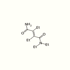 CC/C(C(N)=O)=C(/CC)C(=O)N(CC)CC